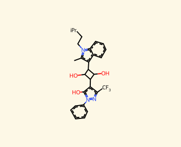 Cc1c(C2C(O)C(c3c(C(F)(F)F)nn(-c4ccccc4)c3O)C2O)c2ccccc2n1CCC(C)C